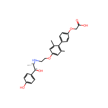 Cc1cc(OCCN[C@@H](C)[C@@H](O)c2ccc(O)cc2)cc(C)c1-c1ccc(OCC(=O)O)cc1